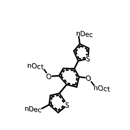 CCCCCCCCCCc1csc(-c2cc(OCCCCCCCC)c(-c3cc(CCCCCCCCCC)cs3)cc2OCCCCCCCC)c1